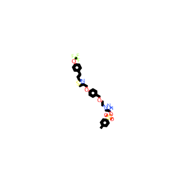 Cc1ccc(S(=O)(=O)Oc2cn(CCOCc3ccc(OCc4csc(C=Cc5ccc(OC(F)(F)F)cc5)n4)cc3)nn2)cc1